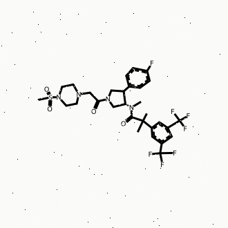 CN(C(=O)C(C)(C)c1cc(C(F)(F)F)cc(C(F)(F)F)c1)[C@@H]1CN(C(=O)CN2CCN(S(C)(=O)=O)CC2)CC1c1ccc(F)cc1